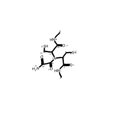 CNC(=O)C(CS)N(C(=O)C(N)=O)C(CS)C(=O)NC